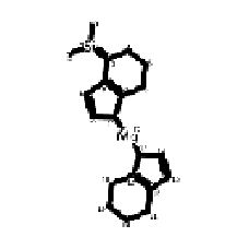 C[Si](C)=C1CCCC2=C1C=C[CH]2[Mg][CH]1C=CC2=C1CCCC2